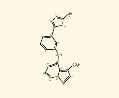 CC(C)c1nnc(-c2cccc(Nc3ncnn4ccc(C(=O)O)c34)c2)s1